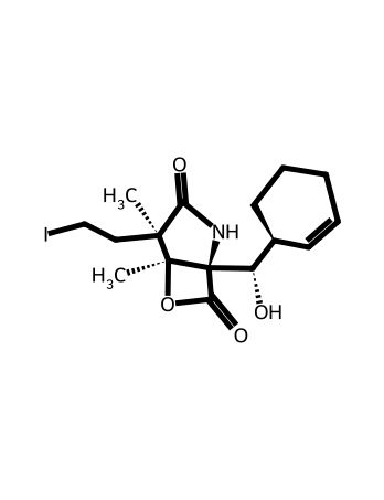 C[C@@]12OC(=O)[C@]1([C@@H](O)[C@@H]1C=CCCC1)NC(=O)[C@]2(C)CCI